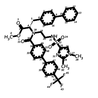 COC(=O)[C@H](Cc1ccc(-c2ccccc2)cc1)N(CCNS(=O)(=O)c1cn(C)c(C)n1)C(=O)c1ccc(-c2ccc(C(F)(F)F)cc2)cc1